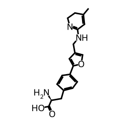 CC1=CC(NCc2coc(-c3ccc(C[C@H](N)C(=O)O)cc3)c2)=NCC1